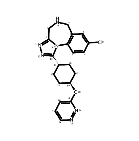 Clc1ccc2c(c1)CNCc1nnc([C@H]3CC[C@H](Oc4cccnn4)CC3)n1-2